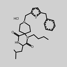 CCCCN1C(=O)C(CC(C)C)NC(=O)C12CCN(Cc1ccc(Cc3ccccc3)s1)CC2.Cl